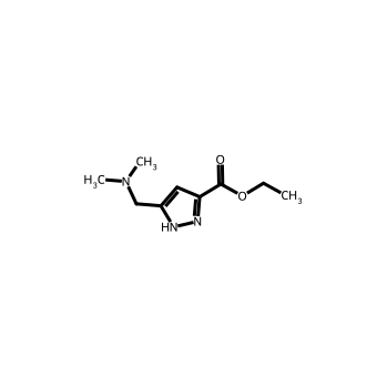 CCOC(=O)c1cc(CN(C)C)[nH]n1